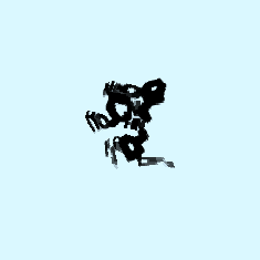 COc1ccccc1C(CNCc1cc(C(F)(F)F)cc(C(F)(F)F)c1)N1CCCC(CO)C1